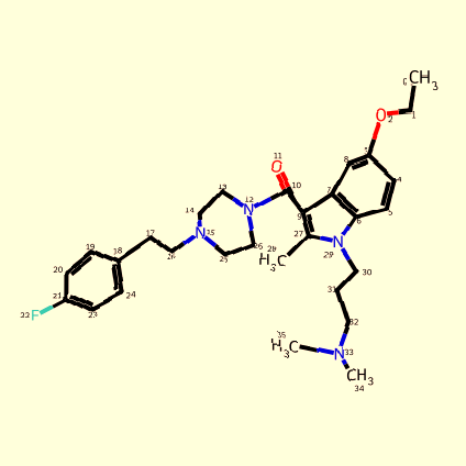 CCOc1ccc2c(c1)c(C(=O)N1CCN(CCc3ccc(F)cc3)CC1)c(C)n2CCCN(C)C